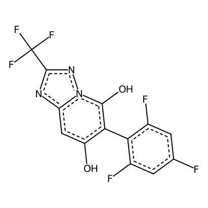 Oc1cc2nc(C(F)(F)F)nn2c(O)c1-c1c(F)cc(F)cc1F